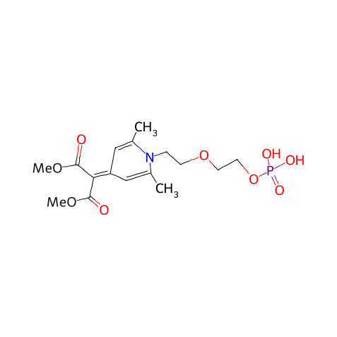 COC(=O)C(C(=O)OC)=C1C=C(C)N(CCOCCOP(=O)(O)O)C(C)=C1